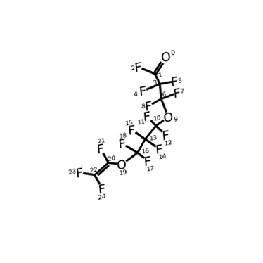 O=C(F)C(F)(F)C(F)(F)OC(F)(F)C(F)(F)C(F)(F)OC(F)=C(F)F